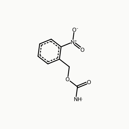 [NH]C(=O)OCc1ccccc1[N+](=O)[O-]